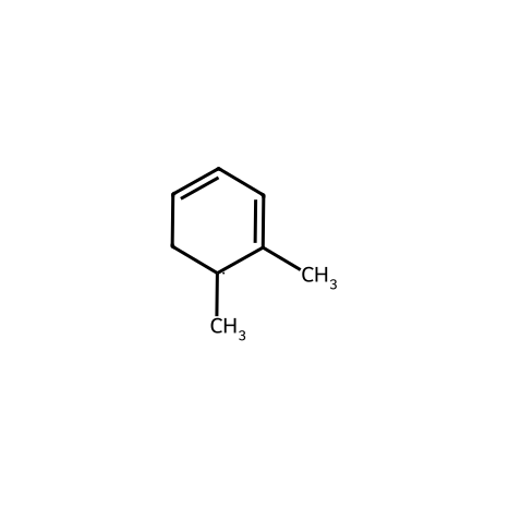 C[C]1CC=CC=C1C